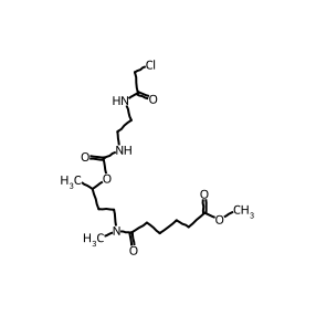 COC(=O)CCCCC(=O)N(C)CCC(C)OC(=O)NCCNC(=O)CCl